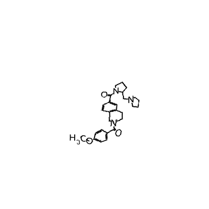 COc1ccc(C(=O)N2CCc3cc(C(=O)N4CCCC4CN4CCCC4)ccc3C2)cc1